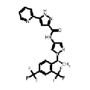 C[C@@H](c1ccc(C(F)(F)F)cc1C(F)(F)F)n1cc(NC(=O)c2cc(-c3ccccn3)[nH]n2)cn1